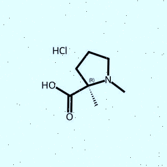 CN1CCC[C@]1(C)C(=O)O.Cl